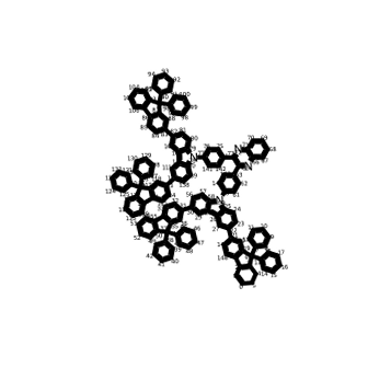 C1=CC2=C(CC1)C(c1ccccc1)(c1ccccc1)c1cc(-c3ccc4c(c3)c3cc(-c5ccc6c(c5)C(c5ccccc5)(c5ccccc5)c5ccccc5-6)ccc3n4-c3ccc(-c4nc5ccccc5nc4-c4ccc(-n5c6ccc(-c7ccc8c(c7)C(c7ccccc7)(c7ccccc7)c7ccccc7-8)cc6c6cc(-c7ccc8c(c7)C(c7ccccc7)(c7ccccc7)c7ccccc7-8)ccc65)cc4)cc3)ccc12